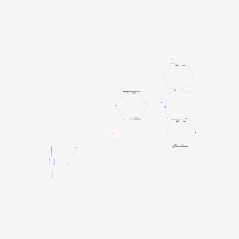 C[N+](C)(C)CCCCOc1cccc(N(c2ccccc2)c2ccccc2)c1